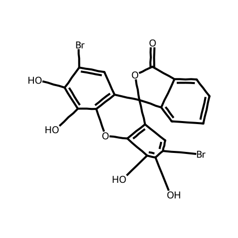 O=C1OC2(c3ccccc31)c1cc(Br)c(O)c(O)c1Oc1c2cc(Br)c(O)c1O